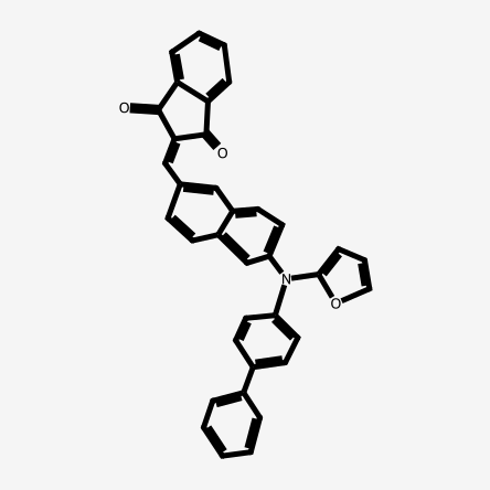 O=C1C(=Cc2ccc3cc(N(c4ccc(-c5ccccc5)cc4)c4ccco4)ccc3c2)C(=O)c2ccccc21